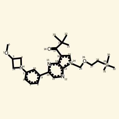 COC1CN(c2cccc(-c3cnc4c(n3)c(C(=O)C(C)(C)C)cn4COCC[Si](C)(C)C)c2)C1